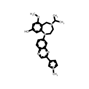 COc1cc(O)cc2c1CN(C(C)C)CCN2c1ccc2ncc(-c3ccn(C)c3)nc2c1